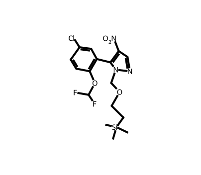 C[Si](C)(C)CCOCn1ncc([N+](=O)[O-])c1-c1cc(Cl)ccc1OC(F)F